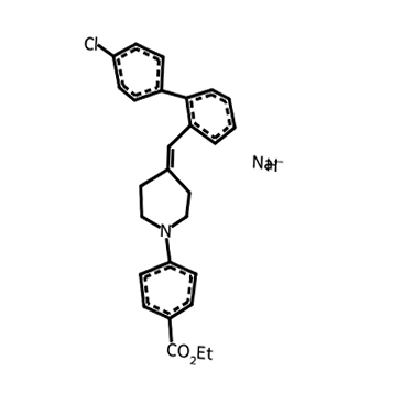 CCOC(=O)c1ccc(N2CCC(=Cc3ccccc3-c3ccc(Cl)cc3)CC2)cc1.[H-].[Na+]